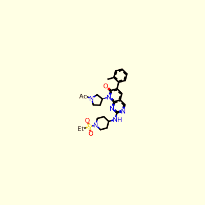 CCS(=O)(=O)N1CCC(Nc2ncc3cc(-c4ccccc4C)c(=O)n([C@H]4CCN(C(C)=O)C4)c3n2)CC1